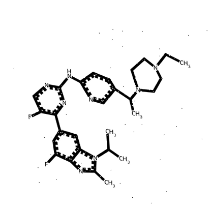 CCN1CCN(C(C)c2ccc(Nc3ncc(F)c(-c4cc(F)c5nc(C)n(C(C)C)c5c4)n3)nc2)CC1